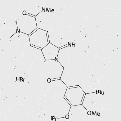 Br.CNC(=O)c1cc2c(cc1N(C)C)CN(CC(=O)c1cc(OC(C)C)c(OC)c(C(C)(C)C)c1)C2=N